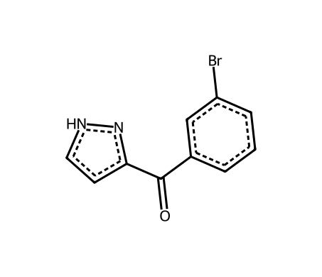 O=C(c1cccc(Br)c1)c1cc[nH]n1